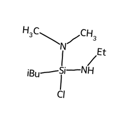 CCN[Si](Cl)(C(C)CC)N(C)C